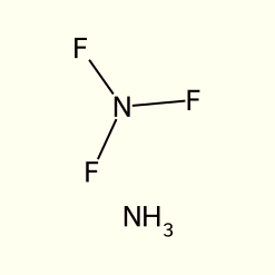 FN(F)F.N